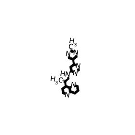 Cc1ncc(-c2cc(NC[C@@H](C)c3ccnc4cccnc34)ncn2)cn1